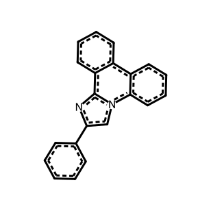 c1ccc(-c2cn3c4ccccc4c4ccccc4c3n2)cc1